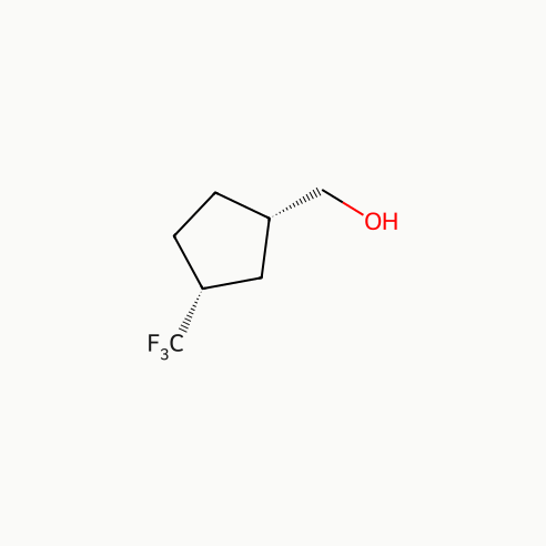 OC[C@H]1CC[C@@H](C(F)(F)F)C1